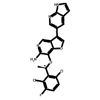 C[C@@H](Oc1c(N)ncc2c(-c3cnc4[nH]ccc4c3)coc12)c1c(Cl)ccc(F)c1Cl